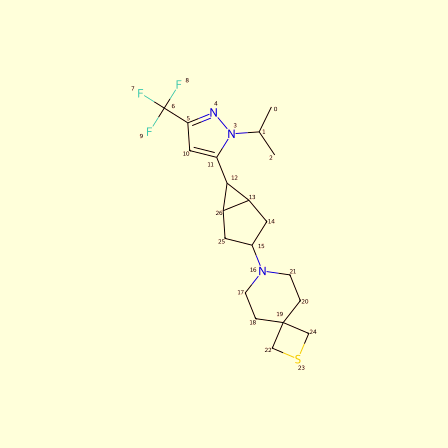 CC(C)n1nc(C(F)(F)F)cc1C1C2CC(N3CCC4(CC3)CSC4)CC21